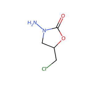 NN1CC(CCl)OC1=O